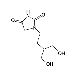 O=C1CN(CCC(CO)CO)C(=O)N1